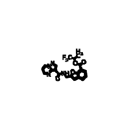 CC(OC(=O)c1cccc2cc(CNC(=O)c3cnn4cccnc34)oc12)C(F)(F)F